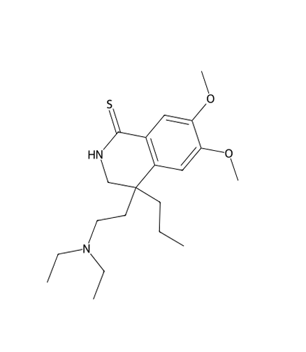 CCCC1(CCN(CC)CC)CNC(=S)c2cc(OC)c(OC)cc21